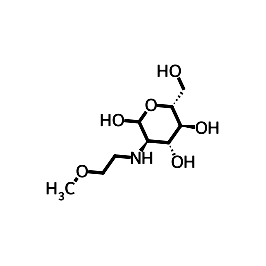 COCCN[C@H]1C(O)O[C@H](CO)[C@@H](O)[C@@H]1O